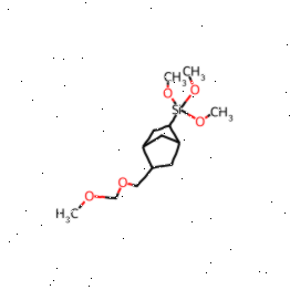 COCOCC1CC2CC1CC2[Si](OC)(OC)OC